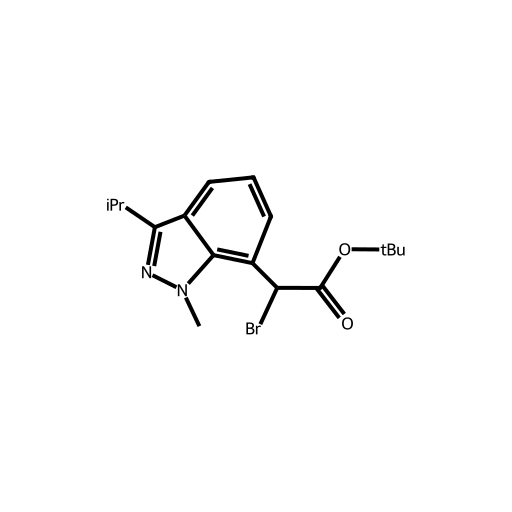 CC(C)c1nn(C)c2c(C(Br)C(=O)OC(C)(C)C)cccc12